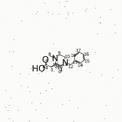 C[C@H]1[C@@H](CC(=O)O)N(C)CCN1Cc1ccccc1